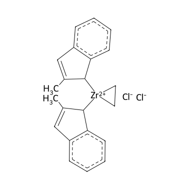 CC1=Cc2ccccc2[CH]1[Zr+2]1([CH]2C(C)=Cc3ccccc32)[CH2][CH2]1.[Cl-].[Cl-]